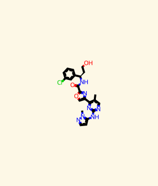 Cc1cnc(Nc2ccnn2C)nc1-c1coc(C(=O)N[C@H](CCO)c2cccc(Cl)c2)n1